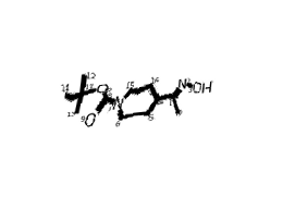 CC(=NO)C1CCN(C(=O)OC(C)(C)C)CC1